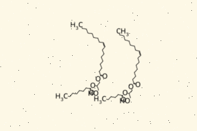 CCCCCCCC/C=C\CCCCCCCC(=O)OCC(CO)OC(=O)CCCCC.CCCCCCCC/C=C\CCCCCCCC(=O)OCC(CO)OC(=O)CCCCCCC